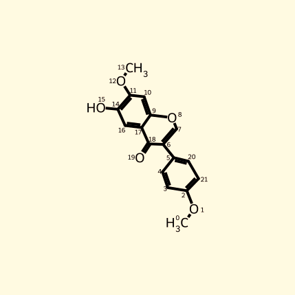 COc1ccc(-c2coc3cc(OC)c(O)cc3c2=O)cc1